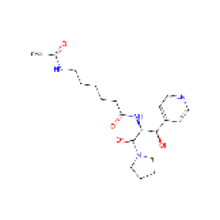 CCCCC(=O)NCCCCCC(=O)N[C@H](C(=O)N1CCCC1)[C@H](O)c1ccncc1